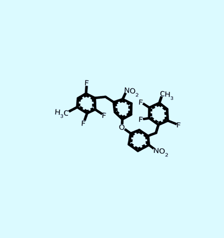 Cc1cc(F)c(Cc2cc(Oc3ccc([N+](=O)[O-])c(Cc4c(F)cc(C)c(F)c4F)c3)ccc2[N+](=O)[O-])c(F)c1F